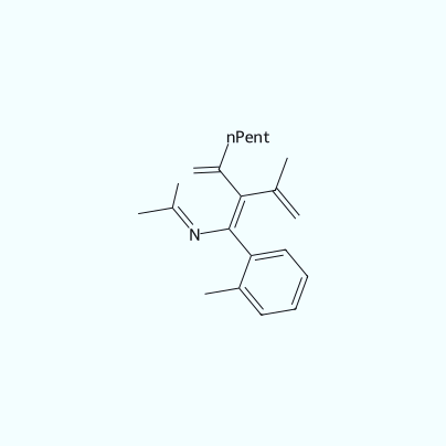 C=C(C)/C(C(=C)CCCCC)=C(/N=C(C)C)c1ccccc1C